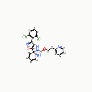 Clc1cccc(Cl)c1-c1cc(C2(NCOCCc3ccccn3)C=CC=CN2)on1